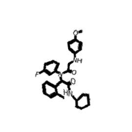 COc1ccc(NCC(=O)N(c2cccc(F)c2)C(C(=O)NC2CCCCC2)c2ccccc2C)cc1